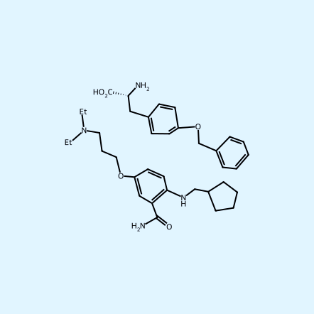 CCN(CC)CCCOc1ccc(NCC2CCCC2)c(C(N)=O)c1.N[C@H](Cc1ccc(OCc2ccccc2)cc1)C(=O)O